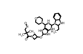 CCC1NC2C=CC=CC2N1C1NC2=C(NC(OC3CN(C(=O)C(C)(C)CN=O)C3)N2)C(N2CCOCC2)N1